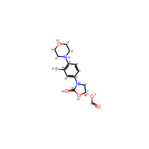 O=CO[C@H]1CN(c2ccc(N3CCOCC3)c(F)c2)C(=O)O1